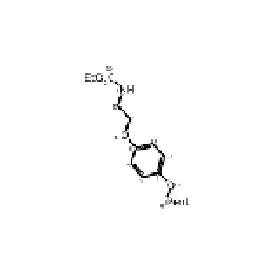 CCCC(C)Oc1ccc(OCCNC(=O)OCC)cc1